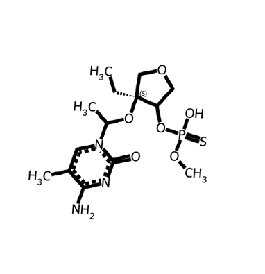 CC[C@]1(OC(C)n2cc(C)c(N)nc2=O)COCC1OP(O)(=S)OC